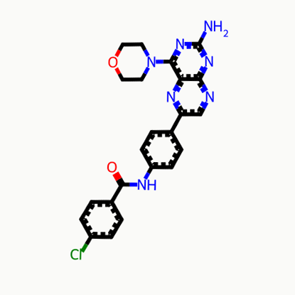 Nc1nc(N2CCOCC2)c2nc(-c3ccc(NC(=O)c4ccc(Cl)cc4)cc3)cnc2n1